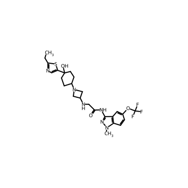 CCc1ncc(C2(O)CCC(N3CC(NCC(=O)Nc4nn(C)c5ccc(OC(F)(F)F)cc45)C3)CC2)s1